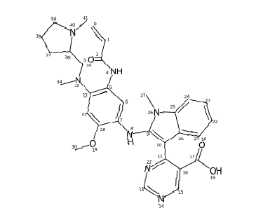 C=CC(=O)Nc1cc(Nc2c(-c3ncncc3C(=O)O)c3ccccc3n2C)c(OC)cc1N(C)CC1CCCN1C